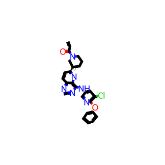 C=CC(=O)N1CCC[C@@H](c2ccc3ncnc(Nc4cnc(Oc5ccccc5)c(Cl)c4)c3n2)C1